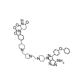 Nc1ncnc2c1c(-c1ccc(Oc3ccccc3)cc1)nn2C1CCN(CCN2CCC(CN3CCC(c4ccc5c(c4)oc(=O)n5C4CCC(=O)NC4=O)CC3)C2)CC1